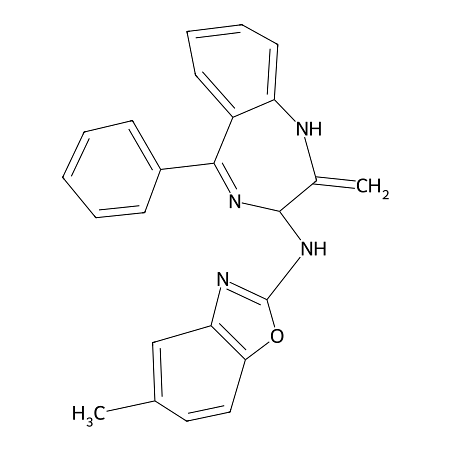 C=C1Nc2ccccc2C(c2ccccc2)=NC1Nc1nc2cc(C)ccc2o1